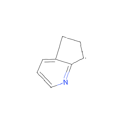 [CH]1CCc2cccnc21